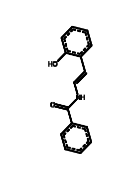 O=C(NC=Cc1ccccc1O)c1ccccc1